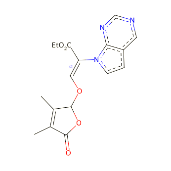 CCOC(=O)/C(=C/OC1OC(=O)C(C)=C1C)n1ccc2cncnc21